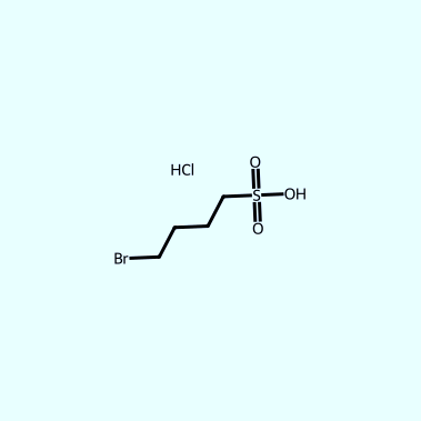 Cl.O=S(=O)(O)CCCCBr